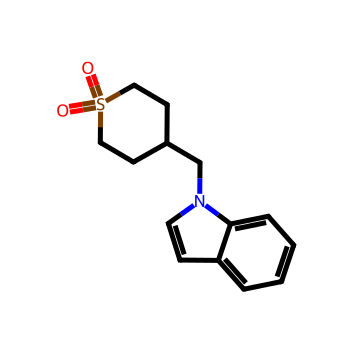 O=S1(=O)CCC(Cn2ccc3ccccc32)CC1